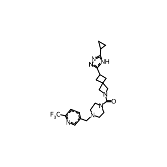 O=C(N1CCN(Cc2ccc(C(F)(F)F)nc2)CC1)N1CC2(CC(c3nnc(C4CC4)[nH]3)C2)C1